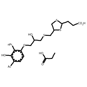 CCC(=O)O.CCCc1c(OCC(O)CSCC2CSC(CCC(=O)O)S2)ccc(C(C)=O)c1O